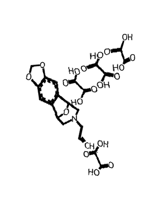 C=CCN1CC2OC(C1)c1cc3c(cc12)OCO3.O=C(O)C(=O)O.O=C(O)C(=O)O.O=C(O)C(=O)O.O=C(O)C(=O)O